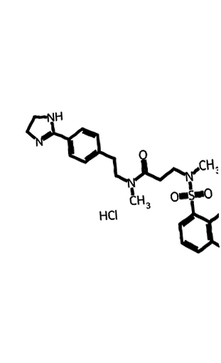 CN(CCc1ccc(C2=NCCN2)cc1)C(=O)CCN(C)S(=O)(=O)c1cccc(Cl)c1Cl.Cl